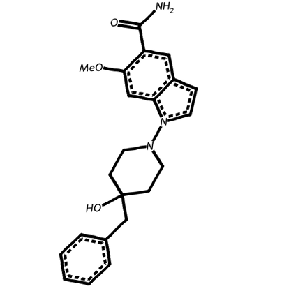 COc1cc2c(ccn2N2CCC(O)(Cc3ccccc3)CC2)cc1C(N)=O